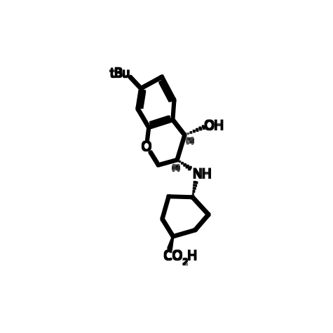 CC(C)(C)c1ccc2c(c1)OC[C@@H](N[C@H]1CC[C@H](C(=O)O)CC1)[C@H]2O